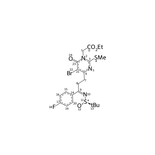 CCOC(=O)Cn1c(SC)nc(CCC(=N[S@+]([O-])C(C)(C)C)c2ccc(F)cc2)c(Br)c1=O